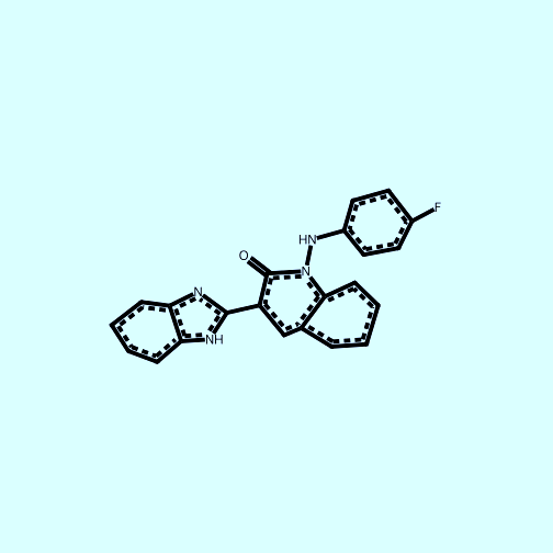 O=c1c(-c2nc3ccccc3[nH]2)cc2ccccc2n1Nc1ccc(F)cc1